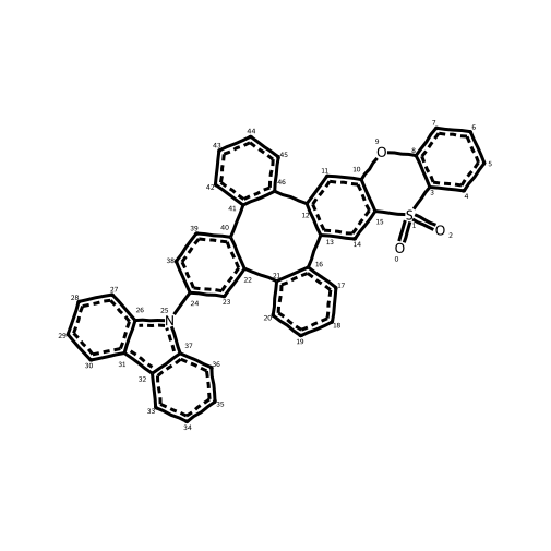 O=S1(=O)c2ccccc2Oc2cc3c(cc21)-c1ccccc1-c1cc(-n2c4ccccc4c4ccccc42)ccc1-c1ccccc1-3